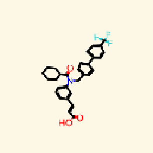 O=C(O)C=Cc1cccc(N(Cc2ccc(-c3ccc(C(F)(F)F)cc3)cc2)C(=O)C2CCCCC2)c1